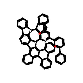 c1ccc(-c2cccc(-c3cc(-c4ccccc4)nc(-n4c5c(c6ccccc6c6c7ccccc7c7ccccc7c65)c5ccc6c7ccccc7n(-c7ccccc7)c6c54)n3)c2)cc1